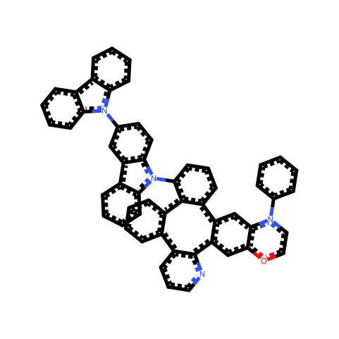 c1ccc(-n2ccoc3cc4c(cc32)c2cccc(-n3c5ccccc5c5cc(-n6c7ccccc7c7ccccc76)ccc53)c2c2ccccc2c2cccnc24)cc1